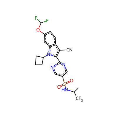 CC(NS(=O)(=O)c1cnc(-c2c(C#N)c3ccc(OC(F)F)cc3n2C2CCC2)nc1)C(F)(F)F